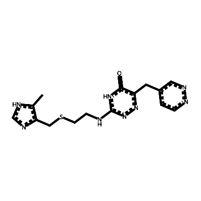 Cc1[nH]cnc1CSCCNc1nnc(Cc2ccnnc2)c(=O)[nH]1